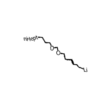 [Li][CH2]CC=CCCOCOCCCCCCCCCC